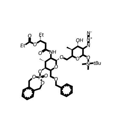 CCC(=O)O[C@H](CC)CC(=O)NC1[C@H](OCC2OC(O[Si](C)(C)C(C)(C)C)C(N=[N+]=[N-])[C@@H](O)[C@@H]2C)OC(COCc2ccccc2)[C@@H](OP2(=O)OCc3ccccc3CO2)[C@@H]1C